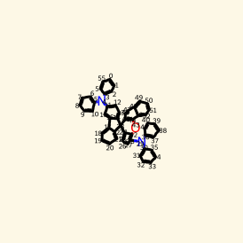 c1ccc(N(c2ccccc2)c2ccc3c(c2)-c2ccccc2C32c3cccc(N(c4ccccc4)c4ccccc4)c3Oc3c2ccc2ccccc32)cc1